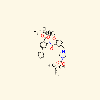 CCOc1ccc(CN2CCN(C(=O)OC(C)(C)C)CC2)cc1C(=O)Nc1cc(-c2ccccc2)ccc1C(=O)OC(C)(C)C